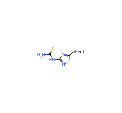 CCCCCc1nc(NC(N)=S)ns1